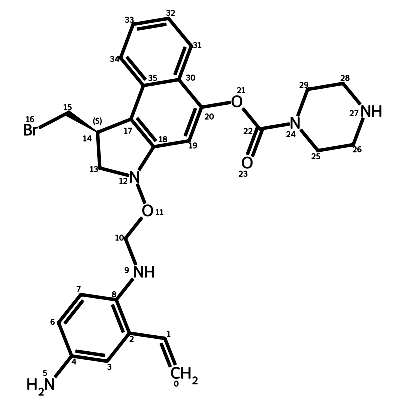 C=Cc1cc(N)ccc1NCON1C[C@@H](CBr)c2c1cc(OC(=O)N1CCNCC1)c1ccccc21